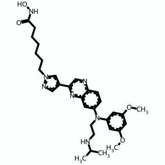 COc1cc(OC)cc(N(CCNC(C)C)c2ccc3ncc(-c4cnn(CCCCCCC(=O)NO)c4)nc3c2)c1